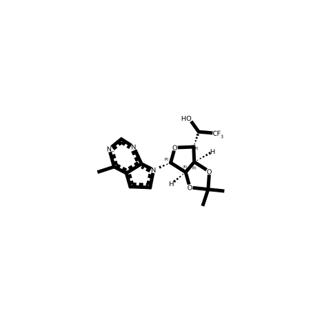 Cc1ncnc2c1ccn2[C@@H]1O[C@H](C(O)C(F)(F)F)[C@H]2OC(C)(C)O[C@H]21